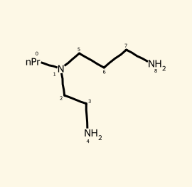 CCCN(CCN)CCCN